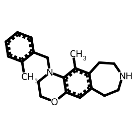 Cc1ccccc1CN1CCOc2cc3c(c(C)c21)CCNCC3